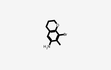 Cc1c(N)cc2c(c1Br)OCCC2